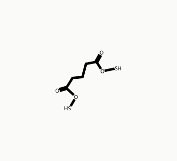 O=C(CCCC(=O)OS)OS